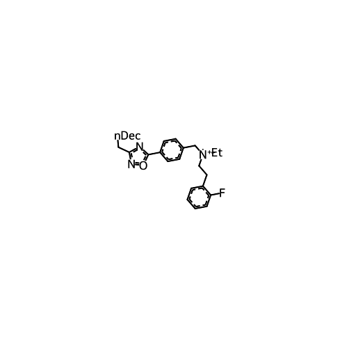 CCCCCCCCCCCc1noc(-c2ccc(C[N+](CC)CCc3ccccc3F)cc2)n1